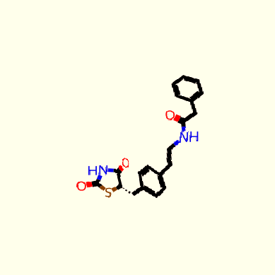 O=C(Cc1ccccc1)NCCc1ccc(C[C@@H]2SC(=O)NC2=O)cc1